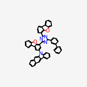 c1ccc(-c2cccc(-c3nc(-c4cccc5c4oc4ccccc45)nc(-c4cc(-n5c6ccccc6c6cc7ccccc7cc65)cc5c4oc4ccccc45)n3)c2)cc1